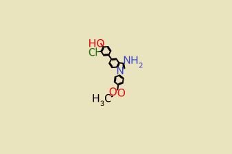 CCOC(=O)c1ccc(-n2cc(N)c3cc(-c4ccc(O)c(Cl)c4)ccc32)cc1